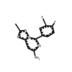 Cc1nc2cc(N)nc(-c3ccc(F)c(F)c3)n2n1